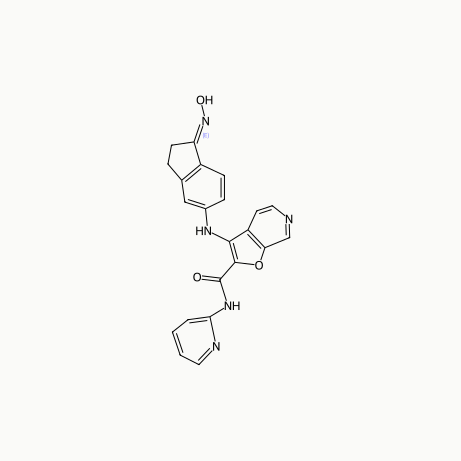 O=C(Nc1ccccn1)c1oc2cnccc2c1Nc1ccc2c(c1)CC/C2=N\O